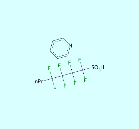 CCCC(F)(F)C(F)(F)C(F)(F)C(F)(F)S(=O)(=O)O.c1ccncc1